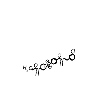 C=CC(=O)NC1CCN(S(=O)(=O)c2ccc(C(=O)NCCc3cccc(Cl)c3)cc2)CC1